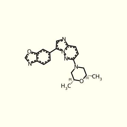 C[C@@H]1CN(c2ccc3ncc(-c4ccc5ncoc5c4)n3n2)C[C@H](C)O1